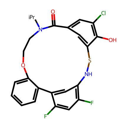 CC(C)N1CCOc2ccccc2-c2cc(c(F)cc2F)NSc2cc(cc(Cl)c2O)C1=O